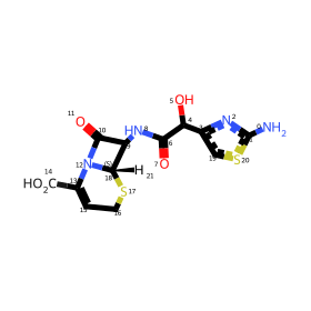 Nc1nc(C(O)C(=O)NC2C(=O)N3C(C(=O)O)=CCS[C@@H]23)cs1